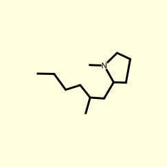 CCCCC(C)CC1CCCN1C